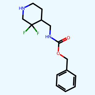 O=C(NCC1CCNCC1(F)F)OCc1ccccc1